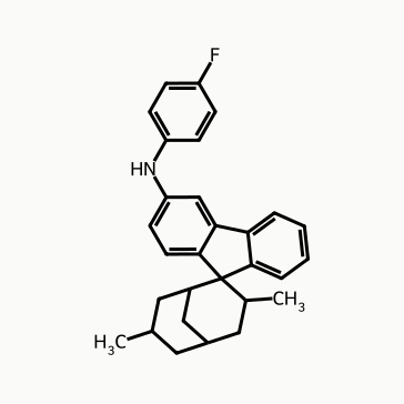 CC1CC2CC(C)C3(c4ccccc4-c4cc(Nc5ccc(F)cc5)ccc43)C(C1)C2